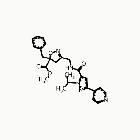 COC(=O)C1(Cc2ccccc2)CC(CNC(=O)c2cc(-c3ccncc3)nn2C(C)C)=NO1